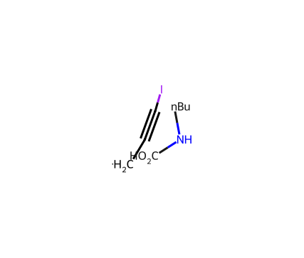 CCCCNC(=O)O.[CH2]C#CI